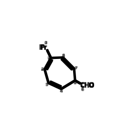 CC(C)C1=CC=CC(C=O)C=C1